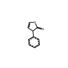 O=C1OC=CC1c1ccccc1